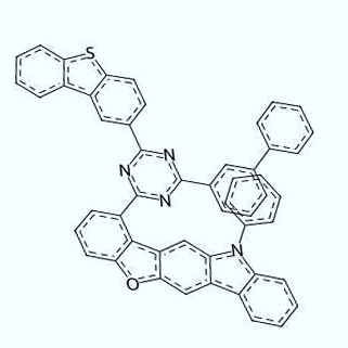 c1ccc(-c2cccc(-c3nc(-c4ccc5sc6ccccc6c5c4)nc(-c4cccc5oc6cc7c8ccccc8n(-c8ccccc8)c7cc6c45)n3)c2)cc1